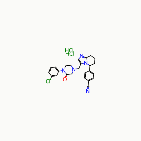 Cl.Cl.N#Cc1ccc(C2CCCc3ncc(CN4CCN(c5cccc(Cl)c5)C(=O)C4)n32)cc1